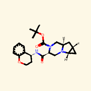 CC(C)(C)OC(=O)N1C[C@H]2C[C@@H]3C[C@@H]3N2C[C@H]1C(=O)N[C@@H]1CCOc2ccccc21